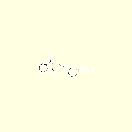 O=C(O)N1CCC[C@H](CCCN2C(=O)c3ccccc3C2=O)C1